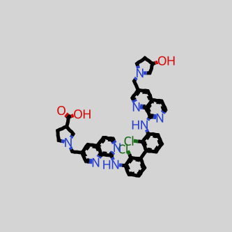 O=C(O)C1CCN(Cc2cnc3c(Nc4cccc(-c5cccc(Nc6nccc7cc(CN8CCC(O)C8)cnc67)c5Cl)c4Cl)nccc3c2)C1